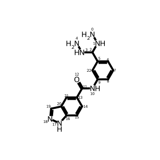 NNC(NN)c1cccc(NC(=O)c2ccc3[nH]ncc3c2)c1